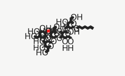 C=CCCCCO[C@H]1OC(CO)[C@@H](O)C(O[C@H]2OC(CO)[C@@H](O)C(O[C@H]3OC(CO)[C@@H](O)C(O)C3O[C@H]3OC(CO)[C@@H](O)C(O)C3O[C@H]3OC(CO)[C@@H](O)C(O)C3O)C2O)C1O